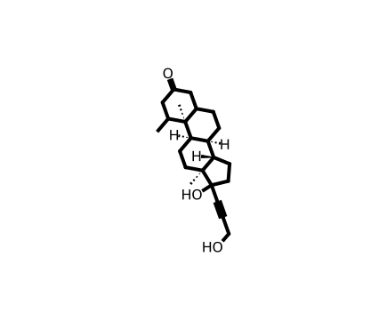 CC1CC(=O)CC2CC[C@@H]3[C@@H](CC[C@@]4(C)[C@H]3CCC4(O)C#CCO)[C@@]12C